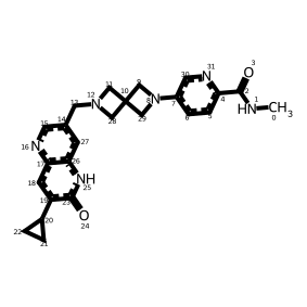 CNC(=O)c1ccc(N2CC3(CN(Cc4cnc5cc(C6CC6)c(=O)[nH]c5c4)C3)C2)cn1